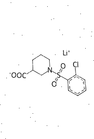 O=C([O-])C1CCCN(S(=O)(=O)c2ccccc2Cl)C1.[Li+]